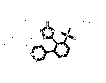 CS(=O)(=O)c1cccc(-c2ccnnc2)c1-c1nn[nH]n1